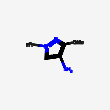 CCCn1cc(N)c(OC)n1